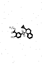 COC(=O)c1cc(S(=O)(=O)N2c3ccccc3CCC2C2CC2)ccc1O